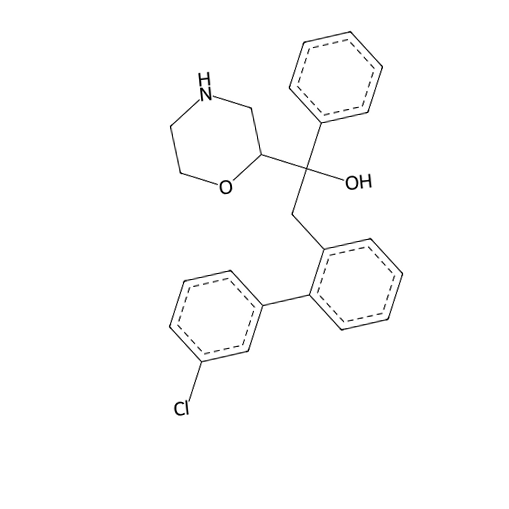 OC(Cc1ccccc1-c1cccc(Cl)c1)(c1ccccc1)C1CNCCO1